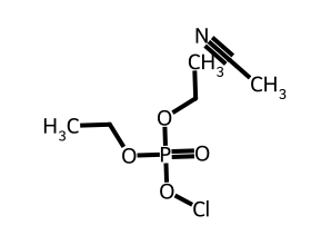 CC#N.CCOP(=O)(OCl)OCC